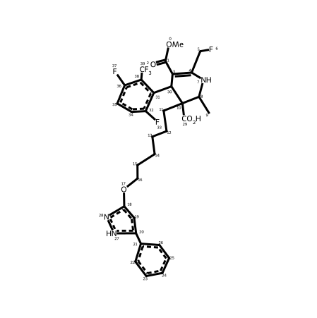 COC(=O)C1=C(CF)NC(C)C(CCCCCCOc2cc(-c3ccccc3)[nH]n2)(C(=O)O)C1c1c(F)ccc(F)c1C(F)(F)F